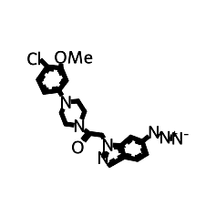 COc1cc(N2CCN(C(=O)Cn3ncc4ccc(N=[N+]=[N-])cc43)CC2)ccc1Cl